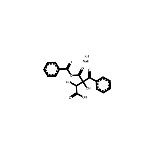 O=C(OC(=O)C(O)(C(=O)c1ccccc1)C(O)C(=O)O)c1ccccc1.[KH].[NaH]